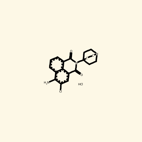 Cl.Nc1c(Cl)cc2c3c(cccc13)C(=O)N(C13CCN(CC1)CC3)C2=O